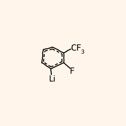 [Li][c]1cccc(C(F)(F)F)c1F